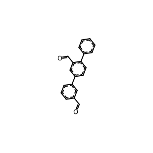 O=Cc1cccc(-c2ccc(-c3ccccc3)c(C=O)c2)c1